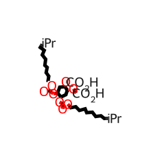 CC(C)CCCCCCCCCOC(=O)OC1CC(OC(=O)O)C(OC(=O)O)CC1OC(=O)OCCCCCCCCCC(C)C